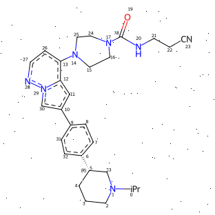 CC(C)N1CCC[C@H](c2ccc(-c3cc4c(N5CCN(C(=O)NCCC#N)CC5)ccnn4c3)cc2)C1